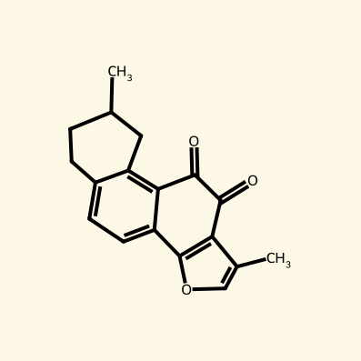 Cc1coc2c1C(=O)C(=O)c1c-2ccc2c1CC(C)CC2